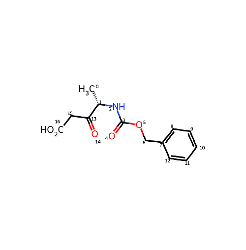 C[C@H](NC(=O)OCc1ccccc1)C(=O)CC(=O)O